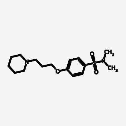 CN(C)S(=O)(=O)c1ccc(OCCCN2CCCCC2)cc1